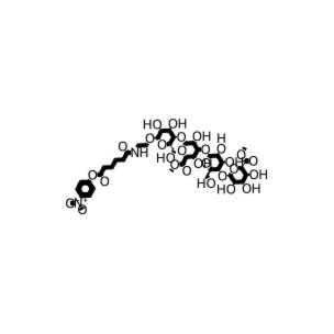 COC(=O)C1OC(O[C@H]2[C@@H](O)[C@@H](O)[C@H](OCCNC(=O)CCCCC(=O)Oc3ccc([N+](=O)[O-])cc3)O[C@H]2CO)C(O)C(O[C@@H]2O[C@H](CO)[C@@H](O[C@@H]3O[C@H](C(=O)OC)[C@@H](O)[C@@H](O)[C@@H]3O)[C@H](O)[C@@H]2O)C1O